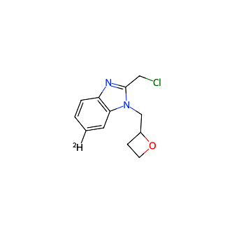 [2H]c1ccc2nc(CCl)n(CC3CCO3)c2c1